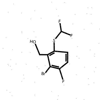 OCc1c(SC(F)F)ccc(F)c1Br